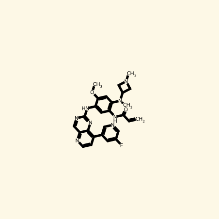 C=CC(=O)Nc1cc(Nc2ncc3nccc(-c4cncc(F)c4)c3n2)c(OC)cc1N(C)C1CN(C)C1